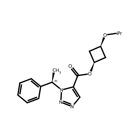 CC(C)O[C@H]1C[C@@H](OC(=O)c2cnnn2[C@H](C)c2ccccc2)C1